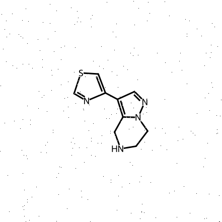 c1nc(-c2cnn3c2CNCC3)cs1